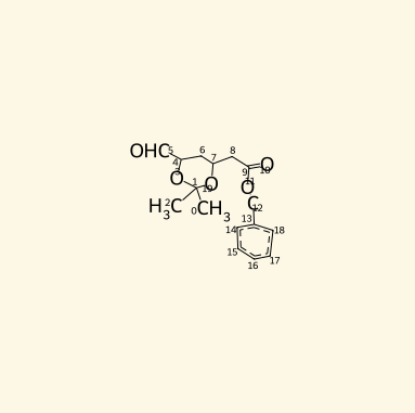 CC1(C)OC(C=O)CC(CC(=O)OCc2ccccc2)O1